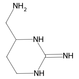 N=C1NCCC(CN)N1